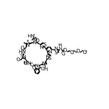 CNC(=O)C[C@@H]1NC(=O)c2csc(n2)-c2ccc(-c3nc(NC(=O)OCCOCCOCCOC)cs3)nc2-c2csc(n2)-c2csc(n2)[C@H]([C@@H](O)c2ccccc2)NC(=O)CNC(=O)c2nc(sc2COC)NC(=O)c2nc1sc2C